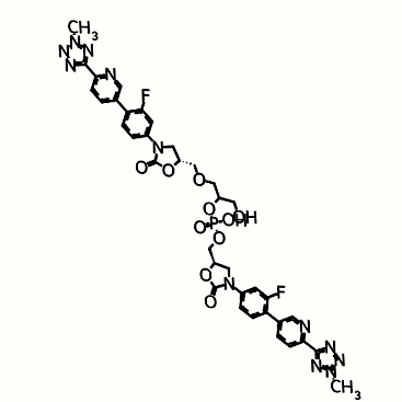 Cn1nnc(-c2ccc(-c3ccc(N4C[C@H](COCC(CO)OP(=O)(O)OC[C@H]5CN(c6ccc(-c7ccc(-c8nnn(C)n8)nc7)c(F)c6)C(=O)O5)OC4=O)cc3F)cn2)n1